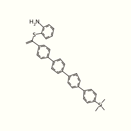 C=C(Sc1ccccc1N)c1ccc(-c2ccc(-c3ccc(-c4ccc([Si](C)(C)C)cc4)cc3)cc2)cc1